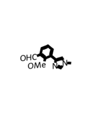 COc1c(C=O)cccc1-c1cn(C)cn1